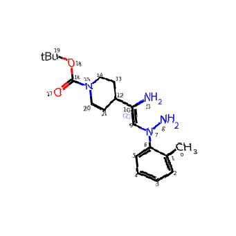 Cc1ccccc1N(N)/C=C(\N)C1CCN(C(=O)OC(C)(C)C)CC1